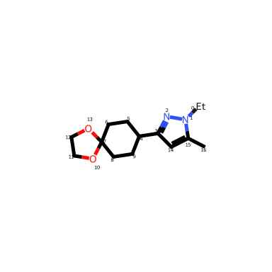 CCn1nc(C2CCC3(CC2)OCCO3)cc1C